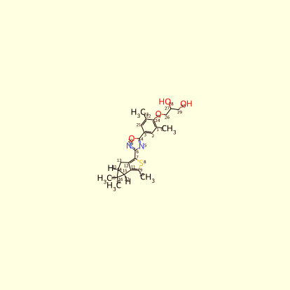 Cc1cc(-c2nc(-c3sc(C)c4c3C[C@@H]3[C@H]4C3(C)C)no2)cc(C)c1OCC(O)CO